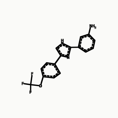 Nc1cccc(-c2nc(-c3ccc(OC(F)(F)F)cc3)c[nH]2)c1